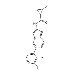 Cc1c(F)cccc1-c1ccc2nc(NC(=O)C3CC3F)cn2c1